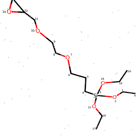 CCO[Si](CCCOCCOCC1CO1)(OCC)OCC